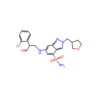 NS(=O)(=O)c1cc(NCC(C=O)c2ccccc2Cl)cc2nn(CC3CCOC3)cc12